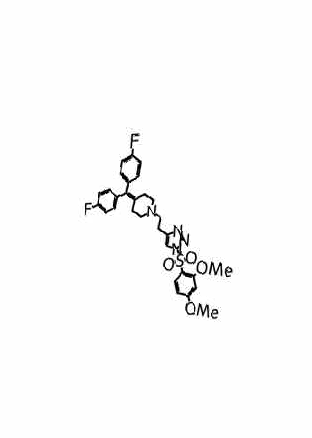 COc1ccc(S(=O)(=O)n2cc(CCN3CCC(=C(c4ccc(F)cc4)c4ccc(F)cc4)CC3)nn2)c(OC)c1